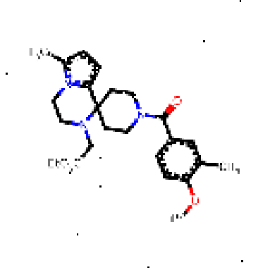 CCOC(=O)CN1CCn2c(C(F)(F)F)ccc2C12CCN(C(=O)c1ccc(OC(C)C)c(C)c1)CC2